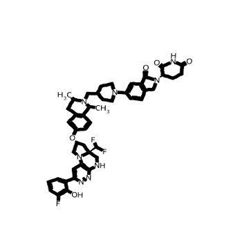 CC1Cc2cc(O[C@H]3CN4c5cc(-c6cccc(F)c6O)nnc5NC[C@@]4(C(F)F)C3)ccc2C(C)N1CC1CCN(c2ccc3c(c2)C(=O)N([C@H]2CCC(=O)NC2=O)C3)CC1